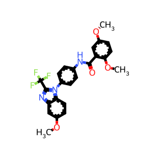 COc1ccc(OC)c(C(=O)Nc2ccc(-n3c(C(F)(F)F)nc4cc(OC)ccc43)cc2)c1